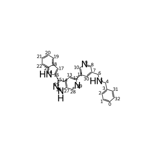 c1ccc(CNCc2cncc(-c3cc4c(-c5cc6ccccc6[nH]5)n[nH]c4cn3)c2)cc1